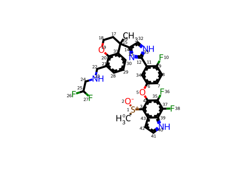 C[S+]([O-])c1c(Oc2ccc(F)c(-c3nc(C4(C)CCOc5c(CNCC(F)F)cccc54)c[nH]3)c2)c(F)c(F)c2[nH]ccc12